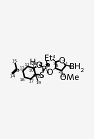 B[C@@H]1O[C@H](CC)[C@@H](O[P@]2(=S)O[C@@H]3C[C@@H](C(=C)C)CC[C@@]3(C)S2)[C@H]1OC